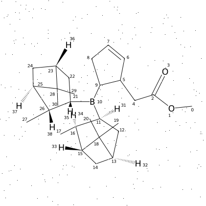 COC(=O)CC1C=CCC1B([C@H]1C[C@H]2C[C@H]([C@H]1C)C2(C)C)[C@H]1C[C@H]2C[C@H]([C@H]1C)C2(C)C